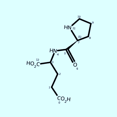 O=C(O)CCC(NC(=O)[C@@H]1CCCN1)C(=O)O